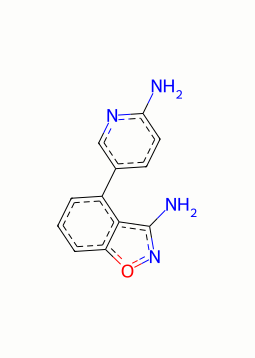 Nc1ccc(-c2cccc3onc(N)c23)cn1